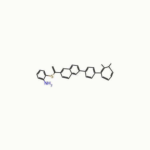 C=C(Sc1ccccc1N)c1ccc2cc(-c3ccc(C4=C(C)C(C)C=CC=C4)cc3)ccc2c1